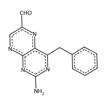 Nc1nc(Cc2ccccc2)c2nc(C=O)cnc2n1